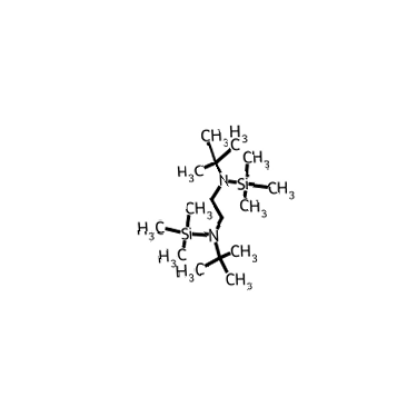 CC(C)(C)N(CCN(C(C)(C)C)[Si](C)(C)C)[Si](C)(C)C